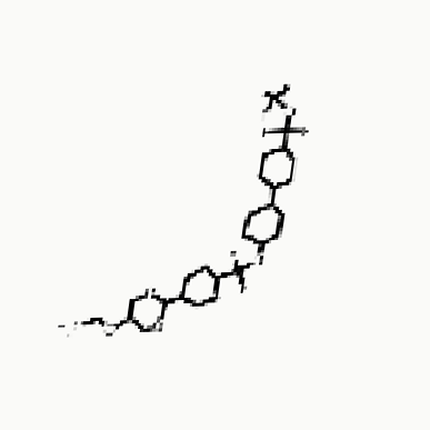 CCOC1COC(C2CCC(C(F)(F)OC3CCC(C4CCC(C(F)(F)OC(F)(F)F)CC4)CC3)CC2)OC1